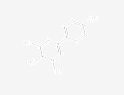 C=C1C(C)=CC(c2ccc(C=O)cc2)=CN1C